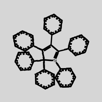 c1ccc(C2=C(c3ccccc3)C(c3ccccc3)(c3ccccc3)[Si](c3ccccc3)=C2c2ccccc2)cc1